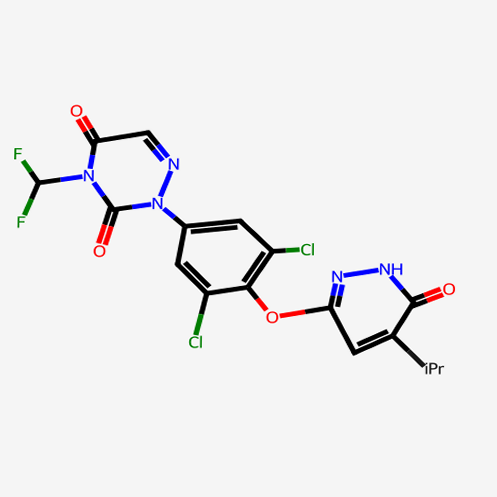 CC(C)c1cc(Oc2c(Cl)cc(-n3ncc(=O)n(C(F)F)c3=O)cc2Cl)n[nH]c1=O